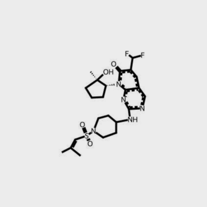 CC(C)=CS(=O)(=O)N1CCC(Nc2ncc3cc(C(F)F)c(=O)n([C@@H]4CCC[C@@]4(C)O)c3n2)CC1